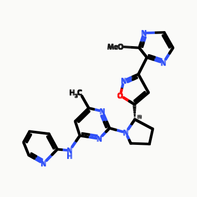 COc1nccnc1-c1cc([C@@H]2CCCN2c2nc(C)cc(Nc3ccccn3)n2)on1